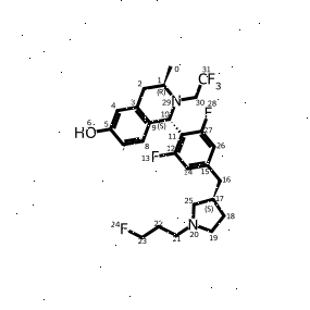 C[C@@H]1Cc2cc(O)ccc2[C@@H](c2c(F)cc(C[C@H]3CCN(CCCF)C3)cc2F)N1CC(F)(F)F